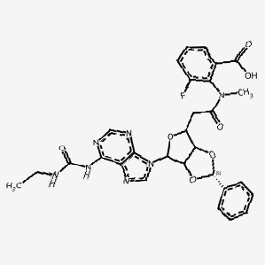 CCNC(=O)Nc1ncnc2c1ncn2C1OC(CC(=O)N(C)c2c(F)cccc2C(=O)O)C2O[C@H](c3ccccc3)OC21